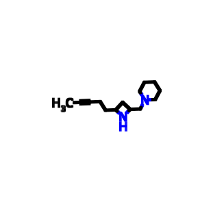 CC#CCCC1CC(CN2CCCCC2)N1